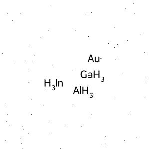 [AlH3].[Au].[GaH3].[InH3]